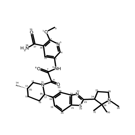 COc1ncc(NC(=O)C(=O)N2C[C@@H](C)CC[C@@H]2c2ccc3sc(C4CCN(C)C4(C)C)nc3c2)cc1C(N)=O